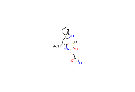 CCSC(=O)[C@H](CCC(=O)C=N)NC(=O)[C@H](Cc1c[nH]c2ccccc12)NC(C)=O